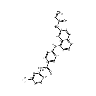 C=CC(=O)Nc1ccc2nccc(Oc3ccc(C(=O)Nc4cc(C(F)(F)F)ccn4)cc3)c2c1